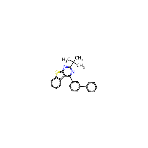 CC(C)(C)c1nc(-c2cccc(-c3ccccc3)c2)c2c(n1)sc1ccccc12